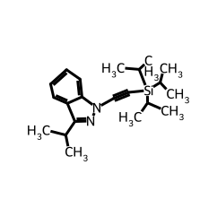 CC(C)c1nn(C#C[Si](C(C)C)(C(C)C)C(C)C)c2ccccc12